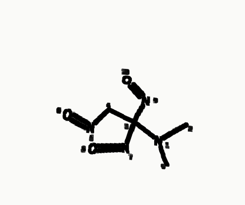 CN(C)C(CN=O)(N=O)N=O